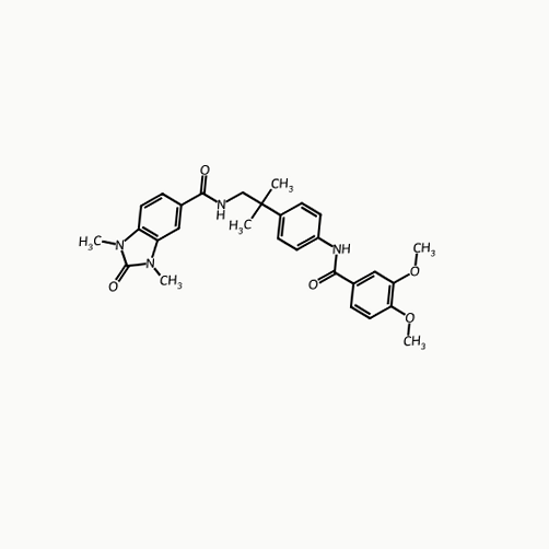 COc1ccc(C(=O)Nc2ccc(C(C)(C)CNC(=O)c3ccc4c(c3)n(C)c(=O)n4C)cc2)cc1OC